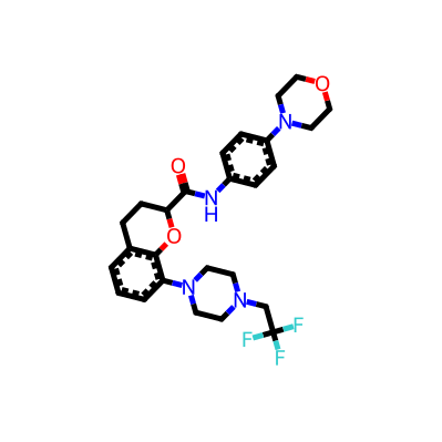 O=C(Nc1ccc(N2CCOCC2)cc1)C1CCc2cccc(N3CCN(CC(F)(F)F)CC3)c2O1